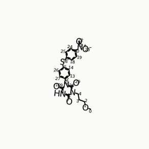 COCCCn1c(=O)[nH]c(=O)n(-c2ccc(Sc3ccc([N+](=O)[O-])cc3)cc2)c1=O